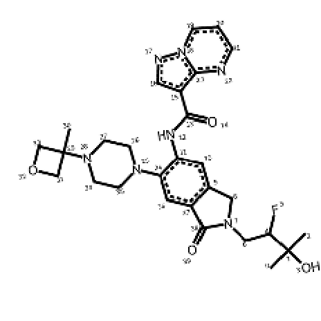 CC(C)(O)C(F)CN1Cc2cc(NC(=O)c3cnn4cccnc34)c(N3CCN(C4(C)COC4)CC3)cc2C1=O